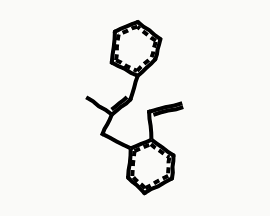 C=Cc1ccccc1CC(C)=Cc1ccccc1